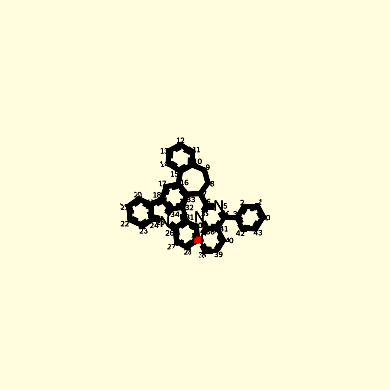 c1ccc(-c2nc(C3CCc4ccccc4-c4cc5c6ccccc6n6c7ccccc7c(c43)c56)nc3ncccc23)cc1